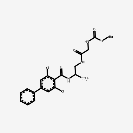 CC(C)(C)OC(=O)NCC(=O)NCC(NC(=O)c1c(Cl)cc(-c2ccccc2)cc1Cl)C(=O)O